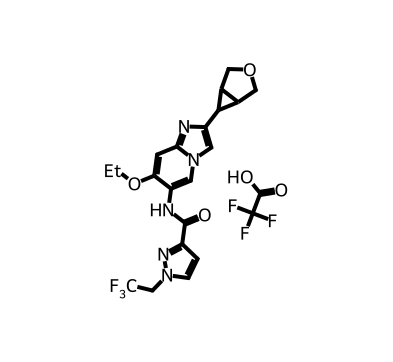 CCOc1cc2nc(C3C4COCC43)cn2cc1NC(=O)c1ccn(CC(F)(F)F)n1.O=C(O)C(F)(F)F